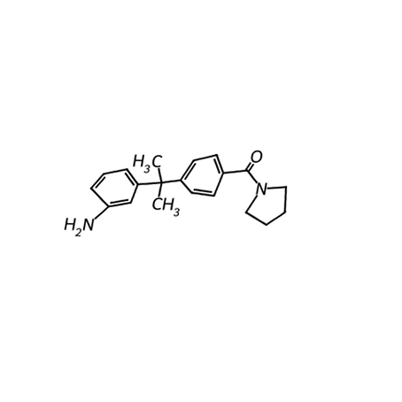 CC(C)(c1ccc(C(=O)N2CCCC2)cc1)c1cccc(N)c1